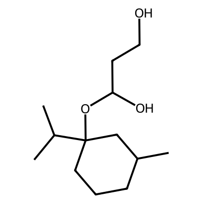 CC1CCCC(OC(O)CCO)(C(C)C)C1